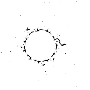 C/C=C/C[C@@H](C)[C@@H](O)C1C(=O)N[C@@H](CC)C(=O)N(C)CC(=O)N(C)[C@@H](CC(C)(C)O)C(=O)N[C@H](C(C)C)C(=O)N(C)[C@H](CC(C)C)C(=O)N[C@H](C)C(=O)N[C@@H](C)C(=O)N(C)[C@@H](CC(C)C)C(=O)N(C)[C@@H](CC(C)C)C(=O)N(C)[C@@H](C(C)C)C(=O)N1C